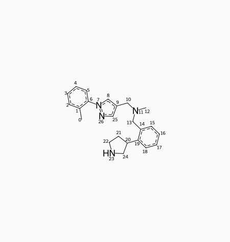 Cc1ccccc1-n1cc(CN(C)Cc2ccccc2C2CCNC2)cn1